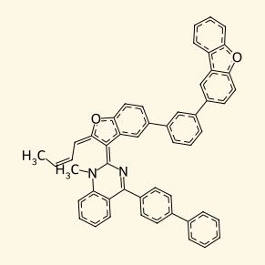 C\C=C/C=c1/oc2ccc(-c3cccc(-c4ccc5oc6ccccc6c5c4)c3)cc2/c1=C1\N=C(c2ccc(-c3ccccc3)cc2)c2ccccc2N1C